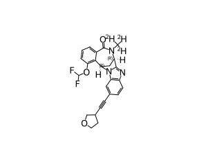 [2H]C([2H])([2H])N1C(=O)c2cccc(OC(F)F)c2[C@H]2C[C@@H]1c1nc3ccc(C#CC4CCOC4)cc3n12